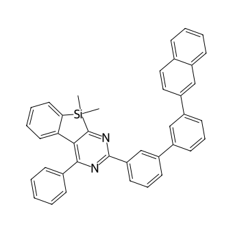 C[Si]1(C)c2ccccc2-c2c(-c3ccccc3)nc(-c3cccc(-c4cccc(-c5ccc6ccccc6c5)c4)c3)nc21